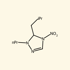 CCCN1N=CN([N+](=O)[O-])C1CC(C)C